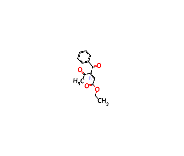 CCOC(=O)/C=C(\C(C)=O)C(=O)c1ccccc1